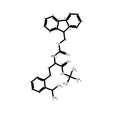 CC(C)c1ccccc1CCC(NC(=O)OCC1c2ccccc2-c2ccccc21)C(=O)OC(C)(C)C